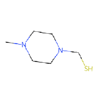 CN1CCN(CS)CC1